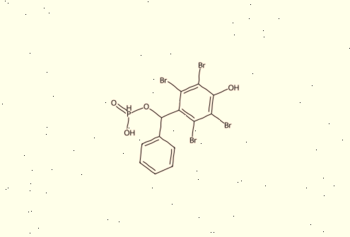 O=[PH](O)OC(c1ccccc1)c1c(Br)c(Br)c(O)c(Br)c1Br